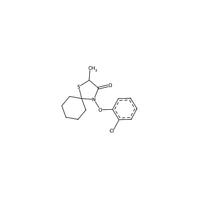 CC1SC2(CCCCC2)N(Oc2ccccc2Cl)C1=O